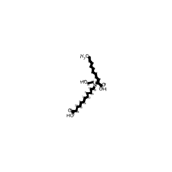 CCCCCCCCCCC(C(=O)O)N(CCO)CCCCCCCCCCCC(=O)O